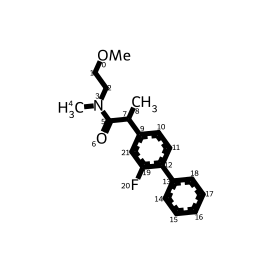 COCCN(C)C(=O)C(C)c1ccc(-c2ccccc2)c(F)c1